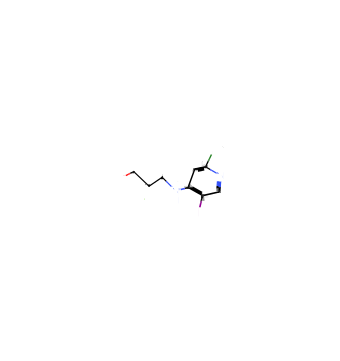 OC[C@@H](F)CNc1cc(Cl)ncc1I